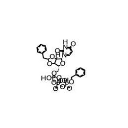 O=c1ccn([C@@H]2O[C@H](COP(=O)(O)OP(=O)(O)OP(=O)(O)OCc3ccccc3)C3OC(Cc4ccccc4)O[C@@H]32)c(=O)[nH]1